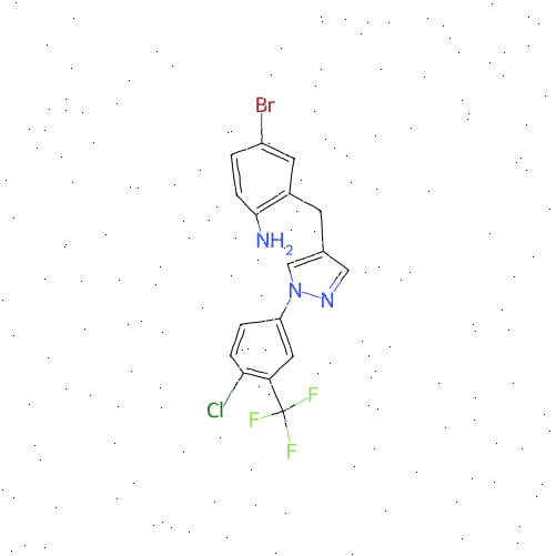 Nc1ccc(Br)cc1Cc1cnn(-c2ccc(Cl)c(C(F)(F)F)c2)c1